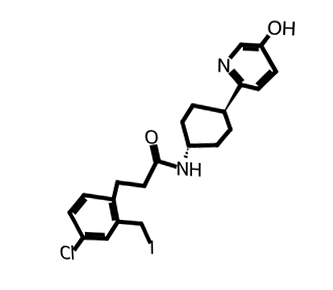 O=C(CCc1ccc(Cl)cc1CI)N[C@H]1CC[C@H](c2ccc(O)cn2)CC1